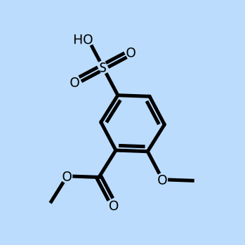 COC(=O)c1cc(S(=O)(=O)O)ccc1OC